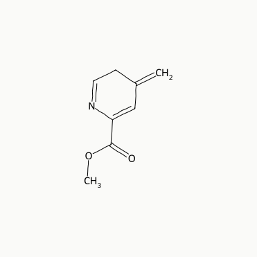 C=C1C=C(C(=O)OC)N=CC1